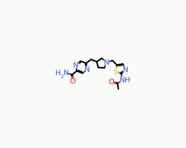 CC(=O)Nc1ncc(CN2CCC(Cc3cnc(C(N)=O)cn3)C2)s1